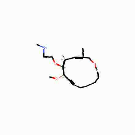 CNCCO[C@H]1[C@H](C)/C=C(/C)COCCCCC/C=C/[C@@H]1OC